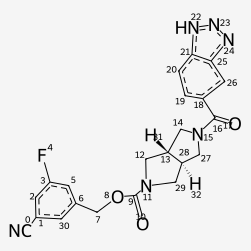 N#Cc1cc(F)cc(COC(=O)N2C[C@@H]3CN(C(=O)c4ccc5[nH]nnc5c4)C[C@H]3C2)c1